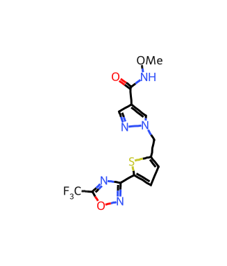 CONC(=O)c1cnn(Cc2ccc(-c3noc(C(F)(F)F)n3)s2)c1